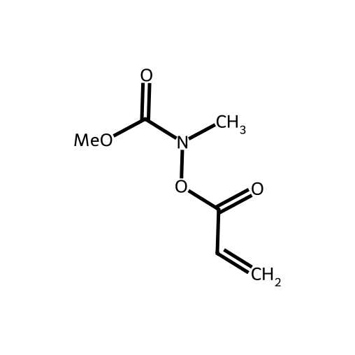 C=CC(=O)ON(C)C(=O)OC